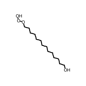 OCCCCCCCCCCCCCCOOO